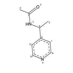 CC(=O)NC(C)c1ccncc1